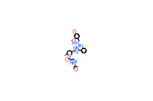 COc1ccc(CNc2nc3c(F)cc(F)cc3c3nc([C@@H]4CC[C@H](C)N(C(=O)c5cnn(C6COC6)n5)C4)nn23)c(OC)c1